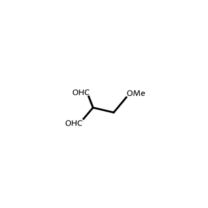 COCC(C=O)C=O